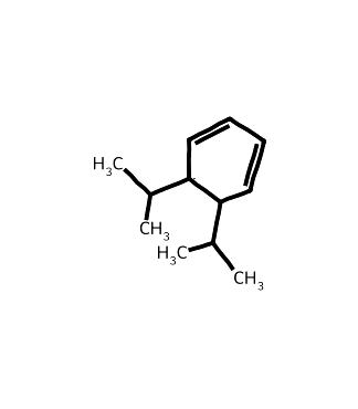 CC(C)[C]1C=CC=CC1C(C)C